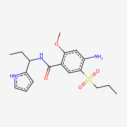 CCCS(=O)(=O)c1cc(C(=O)NC(CC)c2ccc[nH]2)c(OC)cc1N